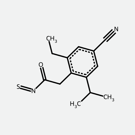 CCc1cc(C#N)cc(C(C)C)c1CC(=O)N=S